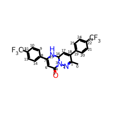 CC1=NN2C(=O)C=C(c3ccc(C(F)(F)F)cc3)NC2C=C1c1ccc(C(F)(F)F)cc1